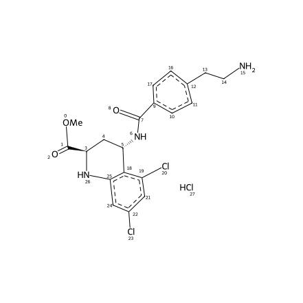 COC(=O)[C@H]1C[C@H](NC(=O)c2ccc(CCN)cc2)c2c(Cl)cc(Cl)cc2N1.Cl